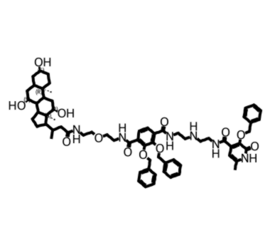 Cc1cc(C(=O)NCCNCCNC(=O)c2ccc(C(=O)NCCOCCNC(=O)CC(C)C3CCC4C5C(C[C@@H](O)[C@@]34C)[C@]3(C)CC[C@H](O)CC3C[C@@H]5O)c(OCc3ccccc3)c2OCc2ccccc2)c(OCc2ccccc2)c(=O)[nH]1